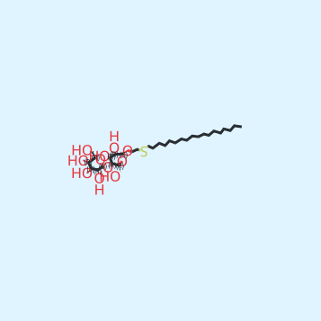 CCCCCCCCCCCCCCCCCCSCCO[C@H]1O[C@H](CO)[C@H](O[C@@H]2O[C@H](CO)[C@H](O)[C@H](O)[C@H]2O)[C@H](O)[C@H]1O